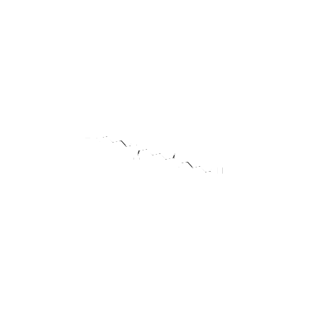 CCCC=COC(=O)CCCCC(=O)OC=CCCC